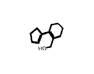 OCC1=C(C2=CCCC2)CCCC1